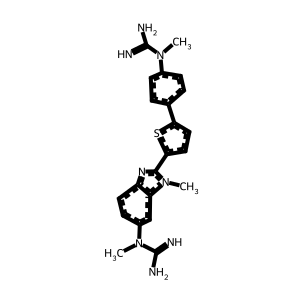 CN(C(=N)N)c1ccc(-c2ccc(-c3nc4ccc(N(C)C(=N)N)cc4n3C)s2)cc1